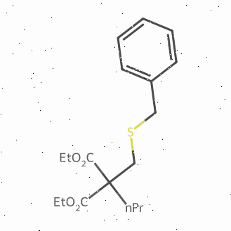 CCCC(CSCc1ccccc1)(C(=O)OCC)C(=O)OCC